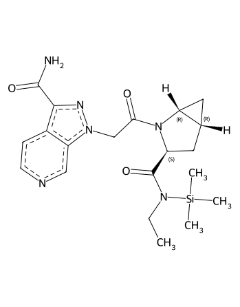 CCN(C(=O)[C@@H]1C[C@H]2C[C@H]2N1C(=O)Cn1nc(C(N)=O)c2ccncc21)[Si](C)(C)C